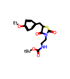 CCOc1ccc(CC2SC(=O)N(CCNC(=O)OC(C)(C)C)C2=O)cc1